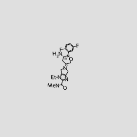 CCn1c(C(=O)NC)nc2c1CN([C@H]1CO[C@H](c3cc(F)ccc3F)[C@@H](N)C1)C2